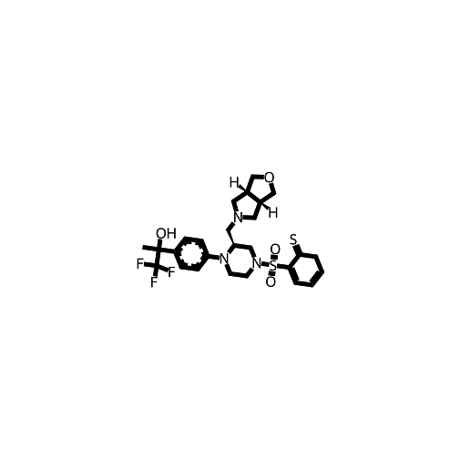 CC(O)(c1ccc(N2CCN(S(=O)(=O)C3=CC=CCC3=S)C[C@@H]2CN2C[C@H]3COC[C@H]3C2)cc1)C(F)(F)F